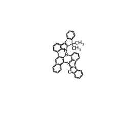 CC1(C)c2ccccc2-c2c1n1c3c(cccc23)-c2cc3ccccc3c3c2B1c1cccc2c4c5ccccc5oc4n-3c12